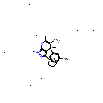 CC1=C(C(=O)O)C(C)(c2cccc([N+](=O)[O-])c2)c2c(C3CCCC3)nn(C)c2N1